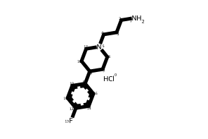 Cl.NCCCN1CCC(c2ccc(F)cc2)CC1